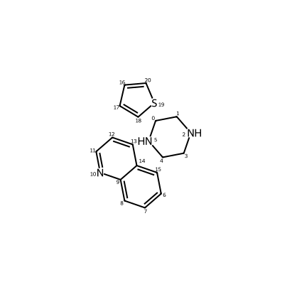 C1CNCCN1.c1ccc2ncccc2c1.c1ccsc1